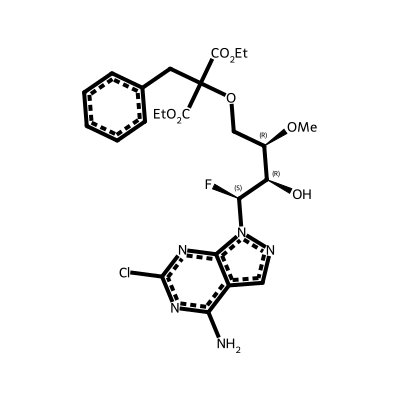 CCOC(=O)C(Cc1ccccc1)(OC[C@@H](OC)[C@@H](O)[C@H](F)n1ncc2c(N)nc(Cl)nc21)C(=O)OCC